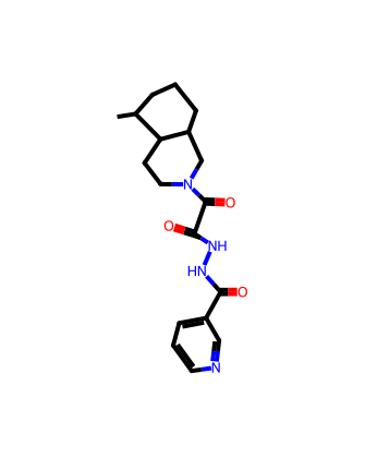 CC1CCCC2CN(C(=O)C(=O)NNC(=O)c3cccnc3)CCC12